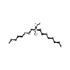 CCCCCCCC[Si](Cl)(CCCCCCCC)OC